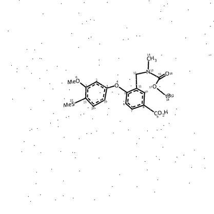 COc1cc(Oc2ccc(C(=O)O)cc2CN(C)C(=O)OC(C)(C)C)ccc1SC